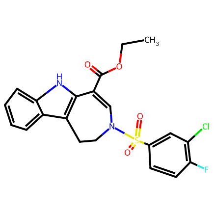 CCOC(=O)C1=CN(S(=O)(=O)c2ccc(F)c(Cl)c2)CCc2c1[nH]c1ccccc21